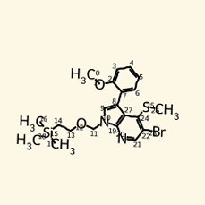 COc1ccccc1-c1cn(COCC[Si](C)(C)C)c2ncc(Br)c(SC)c12